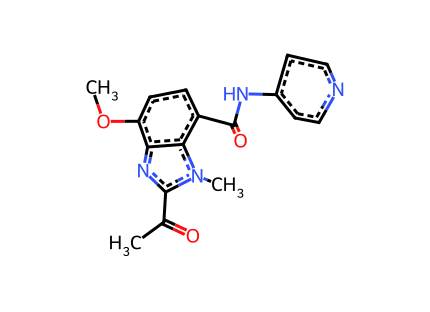 COc1ccc(C(=O)Nc2ccncc2)c2c1nc(C(C)=O)n2C